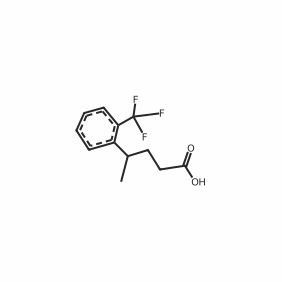 CC(CCC(=O)O)c1ccccc1C(F)(F)F